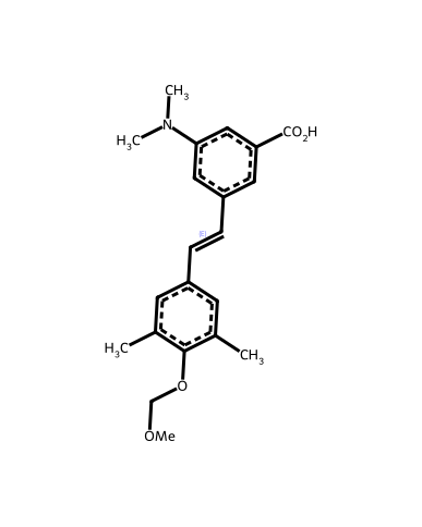 COCOc1c(C)cc(/C=C/c2cc(C(=O)O)cc(N(C)C)c2)cc1C